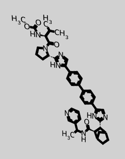 COC(=O)N[C@H](C(=O)N1CCC[C@H]1c1ncc(-c2ccc(-c3ccc(-c4cnc([C@@H]5C6CCC(C6)[C@H]5C(=O)NC(C)c5cccnc5)[nH]4)cc3)cc2)[nH]1)C(C)C